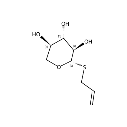 C=CCS[C@@H]1OC[C@@H](O)[C@H](O)[C@H]1O